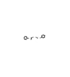 Cc1ccccc1-c1nc(CSCC(=O)NCc2ccc(Cl)cc2)c(C)o1